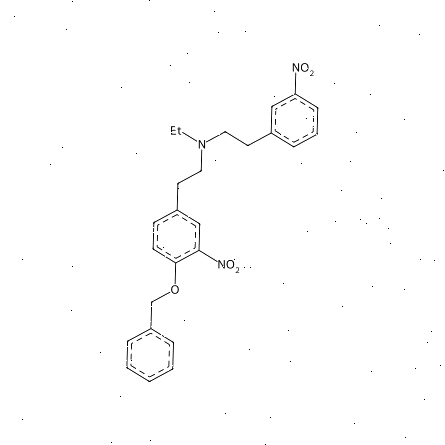 CCN(CCc1cccc([N+](=O)[O-])c1)CCc1ccc(OCc2ccccc2)c([N+](=O)[O-])c1